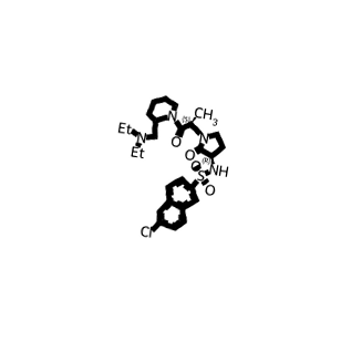 CCN(CC)CC1CCCCN1C(=O)[C@H](C)N1CC[C@@H](NS(=O)(=O)c2ccc3cc(Cl)ccc3c2)C1=O